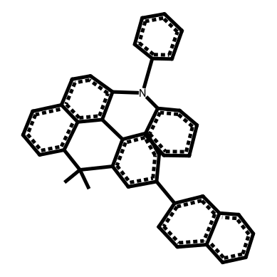 CC1(C)c2cc(-c3ccc4ccccc4c3)ccc2-c2c(N(c3ccccc3)c3ccccc3)ccc3cccc1c23